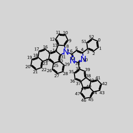 c1ccc(-c2cc(-n3c4ccccc4c4c5ccc6ccccc6c5c5ccccc5c43)nc(-c3ccc4c(c3)-c3cccc5cccc-4c35)n2)cc1